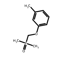 Cc1cccc(OCP(C)(C)=O)c1